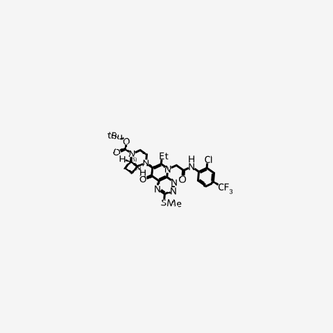 CCc1c(N2CCN(C(=O)OC(C)(C)C)[C@H]3CC[C@@H]32)c(=O)c2nc(SC)nnc2n1CC(=O)Nc1ccc(C(F)(F)F)cc1Cl